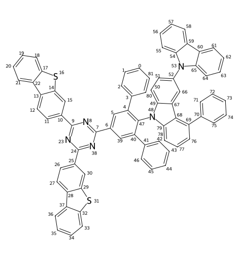 c1ccc(-c2cc(-c3nc(-c4ccc5c(c4)sc4ccccc45)nc(-c4ccc5c(c4)sc4ccccc45)n3)cc(-c3ccccc3)c2-n2c3ccc(-n4c5ccccc5c5ccccc54)cc3c3c(-c4ccccc4)cccc32)cc1